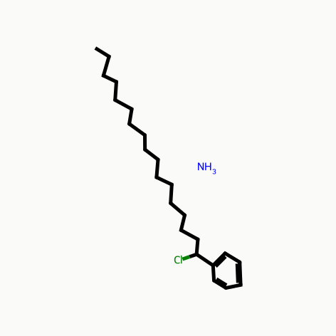 CCCCCCCCCCCCCCCCC(Cl)c1ccccc1.N